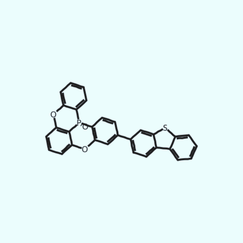 O=P12c3ccccc3Oc3cccc(c31)Oc1cc(-c3ccc4c(c3)sc3ccccc34)ccc12